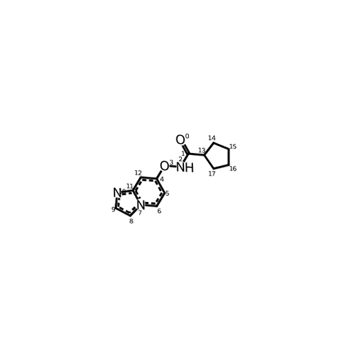 O=C(NOc1ccn2ccnc2c1)C1CCCC1